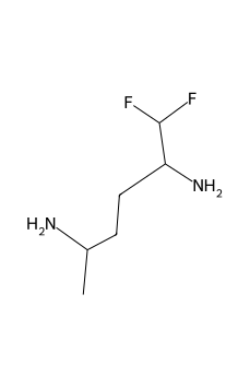 CC(N)CCC(N)C(F)F